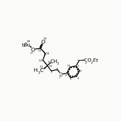 CCOC(=O)Cc1cccc(OCCC(C)(C)CCC(=O)OC(C)(C)C)c1